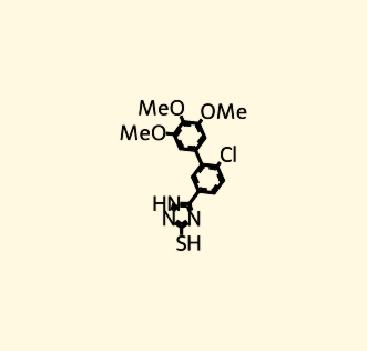 COc1cc(-c2cc(-c3nc(S)n[nH]3)ccc2Cl)cc(OC)c1OC